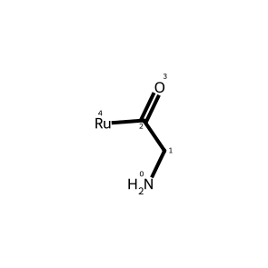 NC[C](=O)[Ru]